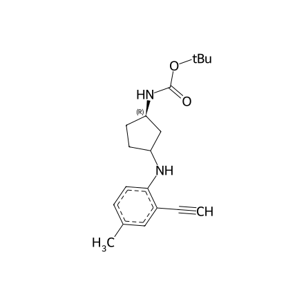 C#Cc1cc(C)ccc1NC1CC[C@@H](NC(=O)OC(C)(C)C)C1